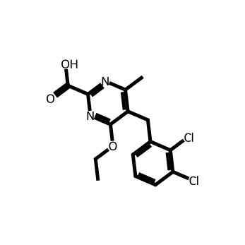 CCOc1nc(C(=O)O)nc(C)c1Cc1cccc(Cl)c1Cl